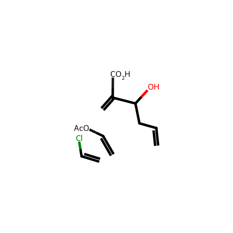 C=CCC(O)C(=C)C(=O)O.C=CCl.C=COC(C)=O